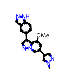 COc1cc(-c2cnn(C)c2)cn2ncc(-c3ccc4[nH]ncc4c3)c12